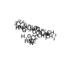 Cc1cc(C(C)C(OC(=O)N2CCC(N3CCc4ccccc4NC3=O)CC2)C(=O)N2CCC(N(C)C)CC2)cc2cn[nH]c12